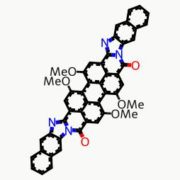 COc1cc2c(=O)n3c4cc5ccccc5cc4nc3c3cc(OC)c4c5c(OC)cc6c7c(cc(OC)c(c1c4c23)c57)c(=O)n1c2cc3ccccc3cc2nc61